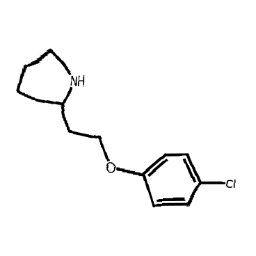 Clc1ccc(OCCC2CCCN2)cc1